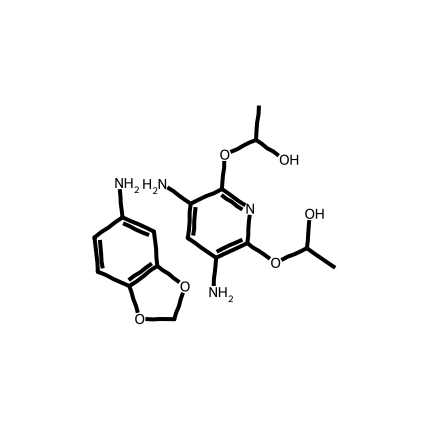 CC(O)Oc1nc(OC(C)O)c(N)cc1N.Nc1ccc2c(c1)OCO2